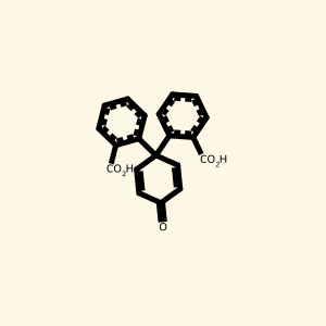 O=C1C=CC(c2ccccc2C(=O)O)(c2ccccc2C(=O)O)C=C1